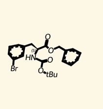 CC(C)(C)OC(=O)N[C@@H](Cc1cccc(Br)c1)C(=O)OCc1ccccc1